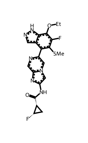 CCOc1c(F)c(SC)c(-c2cn3cc(NC(=O)[C@@H]4C[C@@H]4F)nc3cn2)c2cn[nH]c12